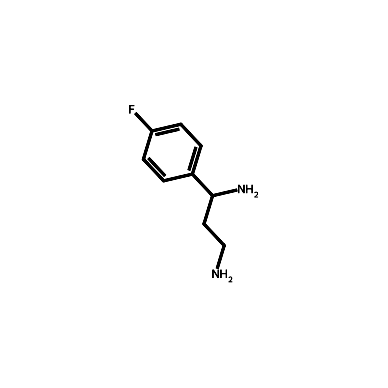 NCCC(N)c1ccc(F)cc1